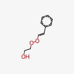 OCCOOC=Cc1ccccc1